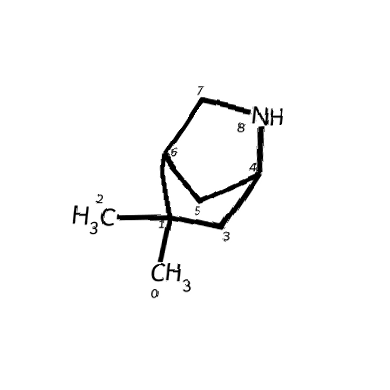 CC1(C)CC2CC1CN2